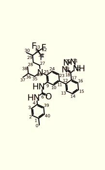 Cc1ccc(NC(=O)Nc2cc(-c3ccccc3-c3nnn[nH]3)ccc2N(CCC(C)C(F)(F)F)CC(C)C)cc1